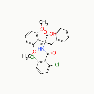 COc1cccc(OC)c1[C@@](Cc1ccccc1)(NC(=O)c1c(Cl)cccc1Cl)C(=O)O